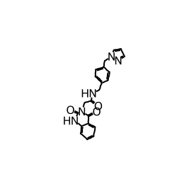 O=C(Cn1c(=O)[nH]c2ccccc2c1=O)NCc1ccc(Cn2cccn2)cc1